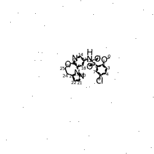 COc1ccc(Cl)cc1S(=O)(=O)Nc1cnc2c(c1)-n1nccc1CCO2